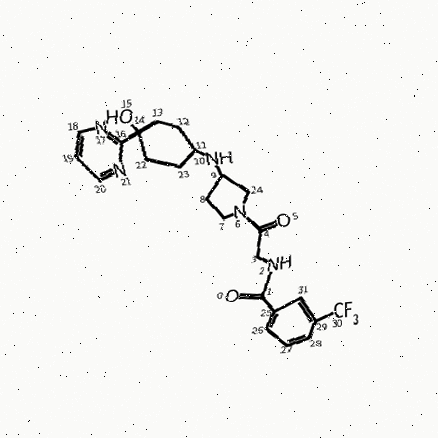 O=C(NCC(=O)N1CCC(NC2CCC(O)(c3ncccn3)CC2)C1)c1cccc(C(F)(F)F)c1